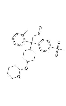 Cc1ccccc1C(CC=O)(c1ccc(S(C)(=O)=O)cc1)C1CCC(OC2CCCCO2)CC1